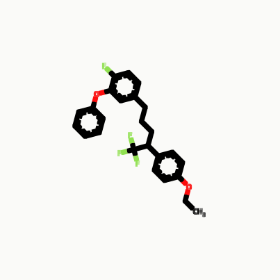 CCOc1ccc(C(CCCc2ccc(F)c(Oc3ccccc3)c2)C(F)(F)F)cc1